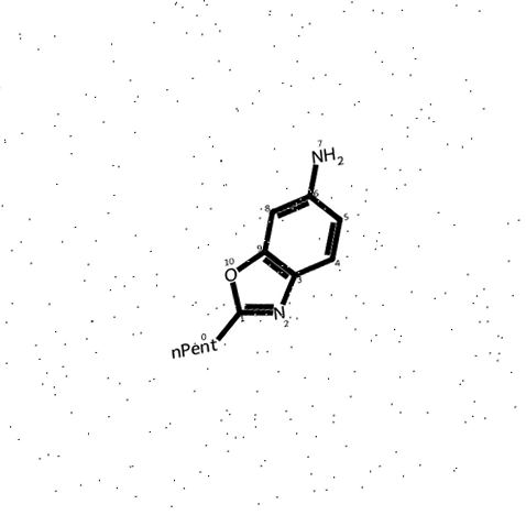 CCCCCc1nc2ccc(N)cc2o1